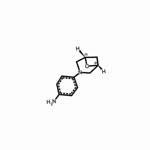 Nc1ccc(N2C[C@H]3C[C@@H](C2)O3)cc1